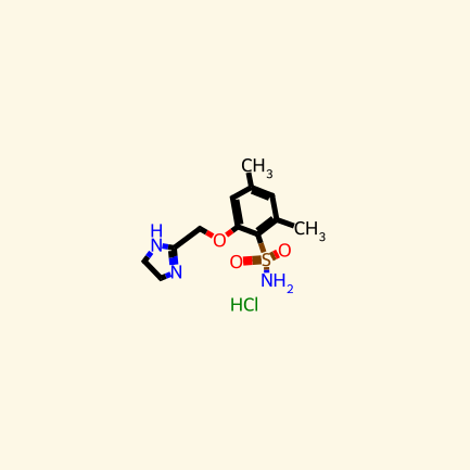 Cc1cc(C)c(S(N)(=O)=O)c(OCC2=NCCN2)c1.Cl